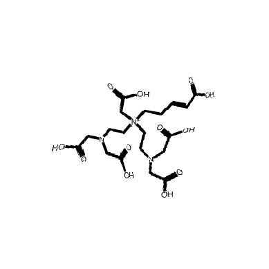 O=C(O)C=CCC[N+](CCN(CC(=O)O)CC(=O)O)(CCN(CC(=O)O)CC(=O)O)CC(=O)O